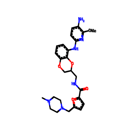 COc1nc(Nc2cccc3c2OC(CNC(=O)c2ccc(CN4CCN(C)CC4)o2)CO3)ccc1N